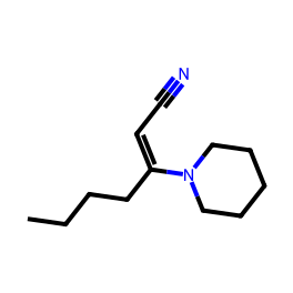 CCCC/C(=C/C#N)N1CCCCC1